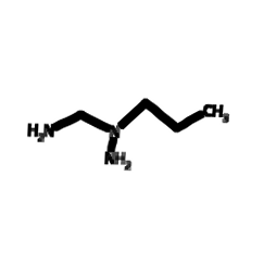 CCCN(N)CN